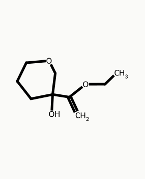 C=C(OCC)C1(O)CCCOC1